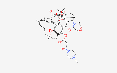 COC(=O)/C(C)=C\CC12OC(C)(C)C3CC(C1=O)C(N1CCOCC1)C1C(=O)c4c(OC(=O)CC(=O)N5CCN(C)CC5)c5c(c(CC=C(C)C)c4OC132)OC(C)(CCC=C(C)C)C=C5